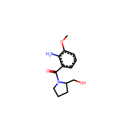 COc1cccc(C(=O)N2CCCC2CO)c1N